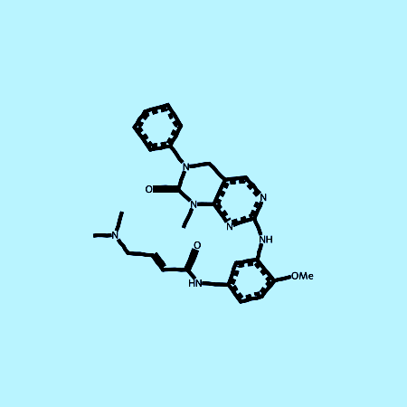 COc1ccc(NC(=O)C=CCN(C)C)cc1Nc1ncc2c(n1)N(C)C(=O)N(c1ccccc1)C2